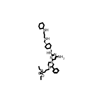 CCOP(=O)(CCCN1CCN(c2cc(N)nc(NC[C@H]3CC[C@H](CNCCCNC4CCCCC4)CC3)n2)CC1c1ccccc1)OCC